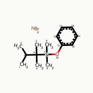 Br.CC(C)C(C)(C)[Si](C)(C)Oc1ccccc1